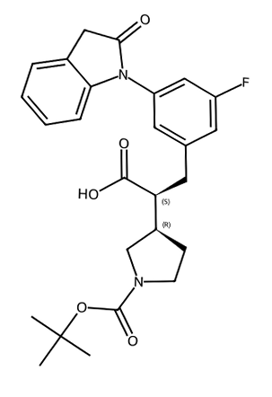 CC(C)(C)OC(=O)N1CC[C@H]([C@H](Cc2cc(F)cc(N3C(=O)Cc4ccccc43)c2)C(=O)O)C1